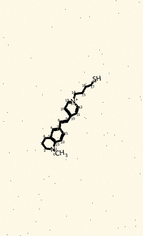 CN1CCCc2cc(/C=C/c3cc[n+](CCCCS)cc3)ccc21